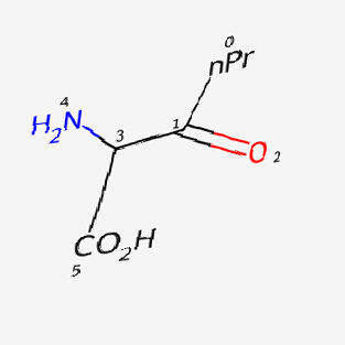 CCCC(=O)C(N)C(=O)O